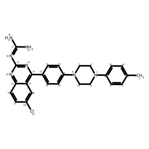 Cc1ccc(N2CCN(c3ccc(-c4nc(N=C(N)N)nc5ccc(Cl)cc45)cc3)CC2)cc1